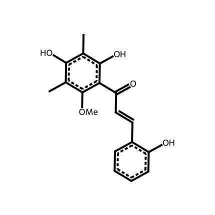 COc1c(C)c(O)c(C)c(O)c1C(=O)C=Cc1ccccc1O